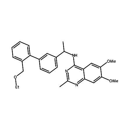 CCOCc1ccccc1-c1cccc(C(C)Nc2nc(C)nc3cc(OC)c(OC)cc23)c1